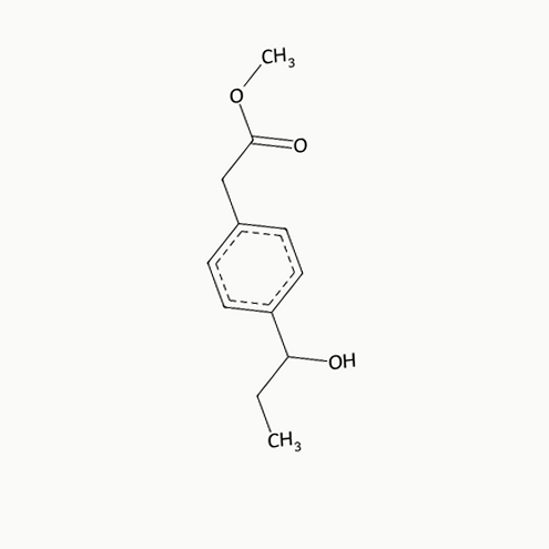 CCC(O)c1ccc(CC(=O)OC)cc1